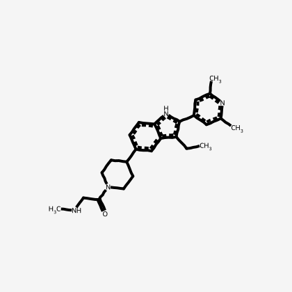 CCc1c(-c2cc(C)nc(C)c2)[nH]c2ccc(C3CCN(C(=O)CNC)CC3)cc12